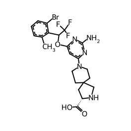 Cc1cccc(Br)c1C(Oc1cc(N2CCC3(CC2)CN[C@H](C(=O)O)C3)nc(N)n1)C(F)(F)F